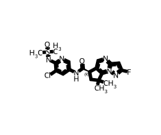 CC1(C)C[C@@H](C(=O)Nc2cnc(N=S(C)(C)=O)c(Cl)c2)c2cnc3cc(F)nn3c21